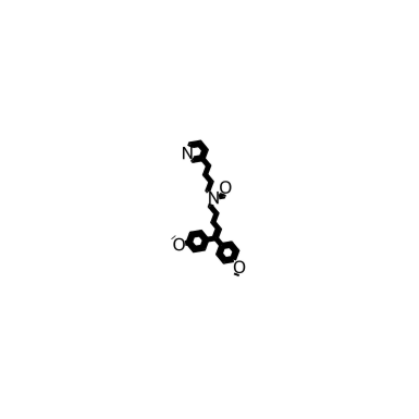 COc1ccc(C(=CCCCN(C=O)CCCCc2cccnc2)c2ccc(OC)cc2)cc1